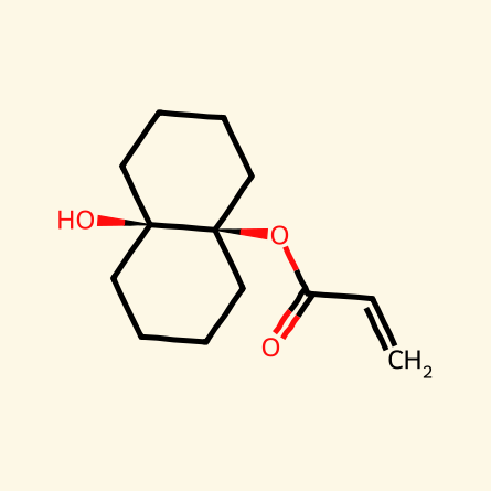 C=CC(=O)O[C@]12CCCC[C@@]1(O)CCCC2